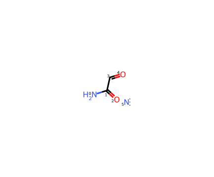 NC(=O)C=O.[N]